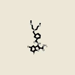 COCCN(CCOC)Cc1cccc(C(=O)Nc2c(C(N)=O)oc3c(F)cc(F)cc23)c1